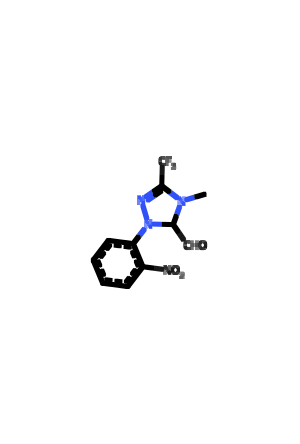 CN1C(C(F)(F)F)=NN(c2ccccc2[N+](=O)[O-])C1C=O